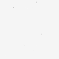 CN1CCN(C(=N)c2ccc(C(=O)Nc3ccccc3C(=O)Nc3ccc(CI)cn3)c(F)c2)CC1